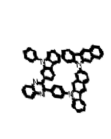 c1ccc(-n2c3ccccc3c3ccc(-c4nc5ccccc5nc4-c4ccc(-n5c6ccccc6c6cc7ccc(-n8c9ccccc9c9cc%10ccccc%10cc98)cc7cc65)cc4)cc32)cc1